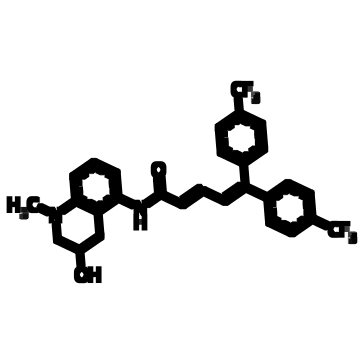 CN1CC(O)Cc2c(NC(=O)/C=C/C=C(c3ccc(C(F)(F)F)cc3)c3ccc(C(F)(F)F)cc3)cccc21